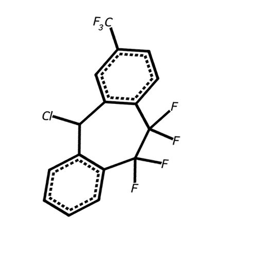 FC(F)(F)c1ccc2c(c1)C(Cl)c1ccccc1C(F)(F)C2(F)F